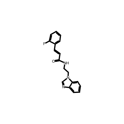 O=C(C=Cc1ccccc1F)NCCn1cnc2ccccc21